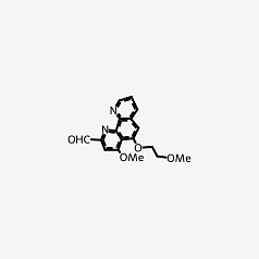 COCCOc1cc2cccnc2c2nc(C=O)cc(OC)c12